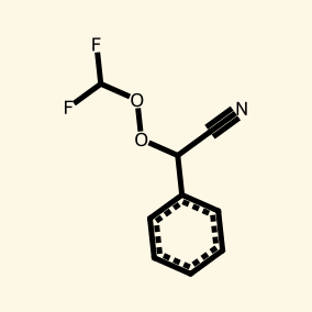 N#CC(OOC(F)F)c1ccccc1